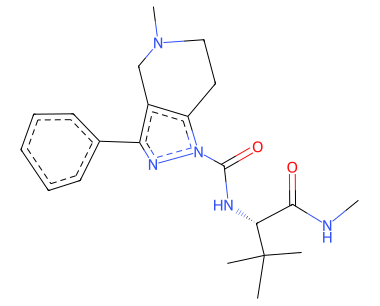 CNC(=O)[C@@H](NC(=O)n1nc(-c2ccccc2)c2c1CCN(C)C2)C(C)(C)C